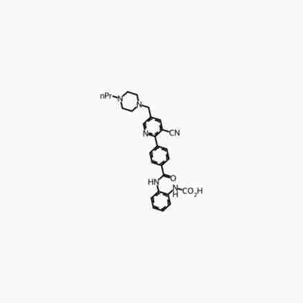 CCCN1CCN(Cc2cnc(-c3ccc(C(=O)Nc4ccccc4NC(=O)O)cc3)c(C#N)c2)CC1